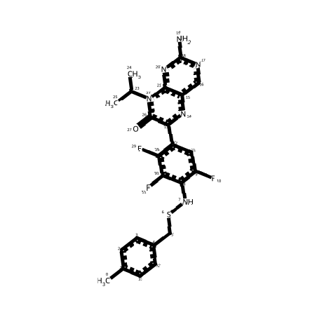 Cc1ccc(CSNc2c(F)cc(-c3nc4cnc(N)nc4n(C(C)C)c3=O)c(F)c2F)cc1